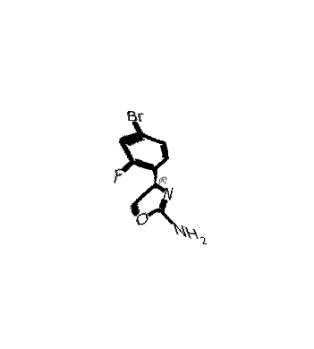 NC1=N[C@H](c2ccc(Br)cc2F)CO1